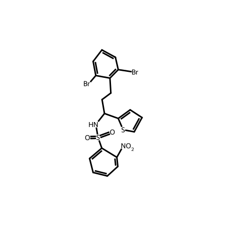 O=[N+]([O-])c1ccccc1S(=O)(=O)NC(CCc1c(Br)cccc1Br)c1cccs1